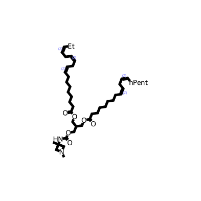 CC/C=C\C/C=C\C/C=C\CCCCCCCC(=O)OCC(COC(=O)CCCCCCC/C=C\C/C=C\CCCCC)COC(=O)NC1(C)CN(C)C1